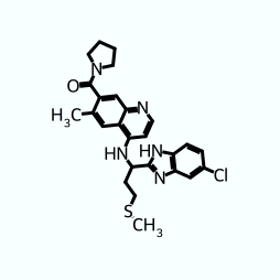 CSCCC(Nc1ccnc2cc(C(=O)N3CCCC3)c(C)cc12)c1nc2cc(Cl)ccc2[nH]1